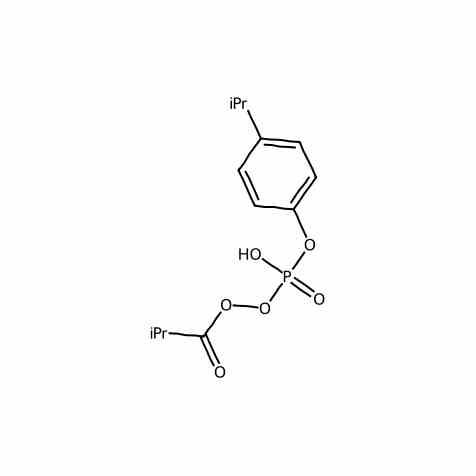 CC(C)C(=O)OOP(=O)(O)Oc1ccc(C(C)C)cc1